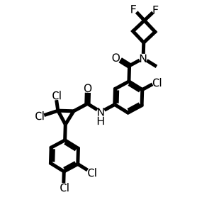 CN(C(=O)c1cc(NC(=O)C2C(c3ccc(Cl)c(Cl)c3)C2(Cl)Cl)ccc1Cl)C1CC(F)(F)C1